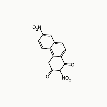 O=C1Cc2c(ccc3cc([N+](=O)[O-])ccc23)C(=O)C1[N+](=O)[O-]